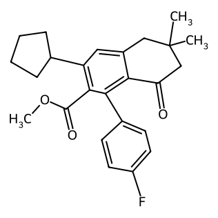 COC(=O)c1c(C2CCCC2)cc2c(c1-c1ccc(F)cc1)C(=O)CC(C)(C)C2